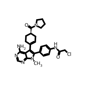 Cn1c(-c2ccc(NC(=O)CCl)cc2)c(C2=CC[C@H](C(=O)N3CCCC3)CC2)c2c(N)ncnc21